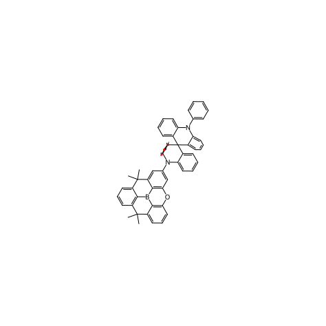 CC1(C)c2cccc3c2B2c4c(cc(N5c6ccccc6C6(c7ccccc7N(c7ccccc7)c7ccccc76)c6ccccc65)cc4C(C)(C)c4cccc1c42)O3